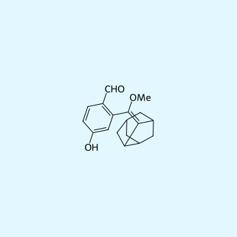 CO/C(=C1\C2CC3CC(C2)C1C3)c1cc(O)ccc1C=O